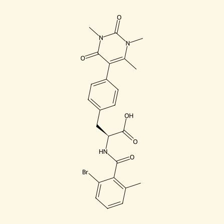 Cc1cccc(Br)c1C(=O)N[C@@H](Cc1ccc(-c2c(C)n(C)c(=O)n(C)c2=O)cc1)C(=O)O